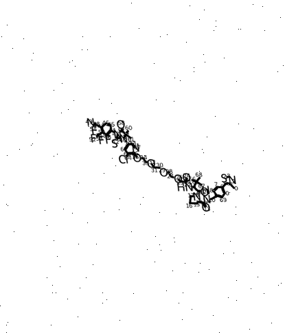 Cc1ncsc1-c1ccc(CNC(=O)C2CCCN2C(=O)C(NC(=O)COCCOCCOCCOc2ncc(N3C(=S)N(c4ccc(C#N)c(C(F)(F)F)c4F)C(=O)C3(C)C)cc2Cl)C(C)(C)C)cc1